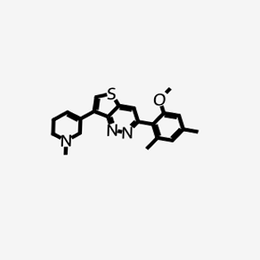 COc1cc(C)cc(C)c1-c1cc2scc(C3=CCCN(C)C3)c2nn1